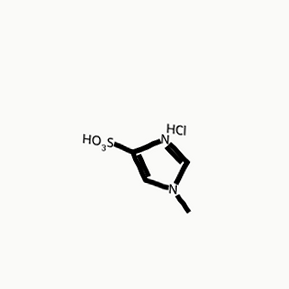 Cl.Cn1cnc(S(=O)(=O)O)c1